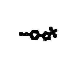 COc1ccc(-c2cn(S(C)(=O)=O)nn2)cc1